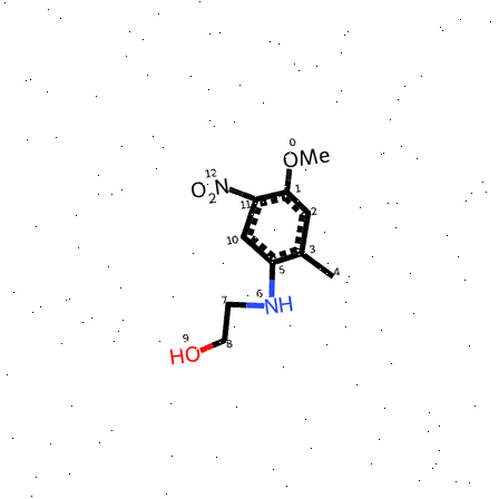 COc1cc(C)c(NCCO)cc1[N+](=O)[O-]